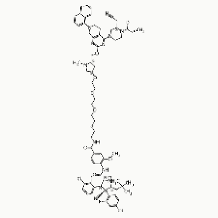 C=CC(=O)N1CCN(c2nc(OC[C@@H]3C[C@@H](OCCOCCOCCOCCNC(=O)c4ccc(NC(=O)[C@@H]5N[C@@H](CC(C)(C)C)[C@](C#N)(c6ccc(Cl)cc6F)[C@H]5c5cccc(Cl)c5F)c(OC)c4)CN3C)nc3c2CCN(c2cccc4ccccc24)C3)C[C@@H]1CC#N